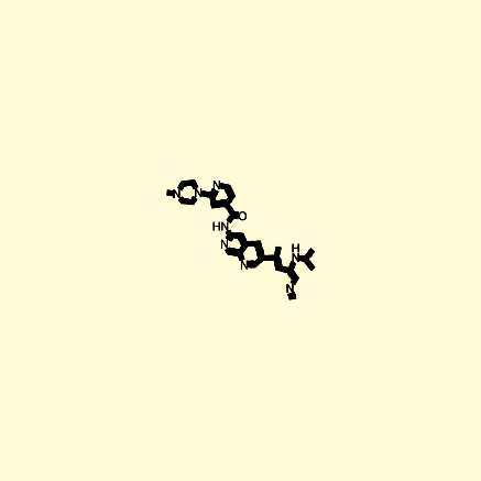 C=N/C=C(\C=C(/C)c1cnc2cnc(NC(=O)c3ccnc(N4CCN(C)CC4)c3)cc2c1)NC(C)C